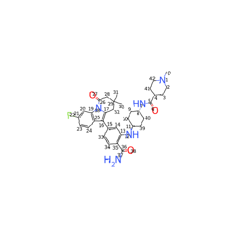 CN1CCC(C(=O)N[C@H]2CC[C@H](Nc3cc(-c4c5n(c6cc(F)ccc46)C(=O)CC(C)(C)C5)ccc3C(N)=O)CC2)CC1